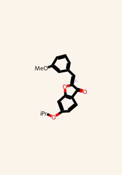 COc1cccc(/C=C2\Oc3cc(OC(C)C)ccc3C2=O)c1